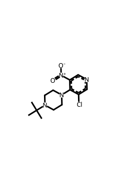 CC(C)(C)N1CCN(c2c(Cl)cncc2[N+](=O)[O-])CC1